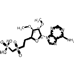 CO[C@@H]1[C@H](OC)C(CCS(=O)(=O)CP(=O)(O)O)O[C@H]1n1cnc2c(N)ncnc21